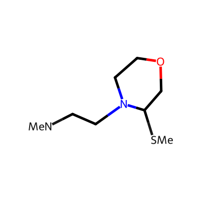 CNCCN1CCOCC1SC